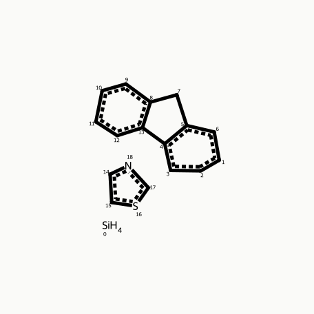 [SiH4].c1ccc2c(c1)Cc1ccccc1-2.c1cscn1